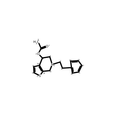 CC(=O)OC1CN(CCc2ccccc2)Cc2sccc21